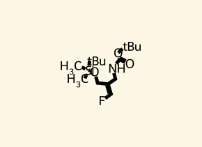 CC(C)(C)OC(=O)NC/C(=C/F)CO[Si](C)(C)C(C)(C)C